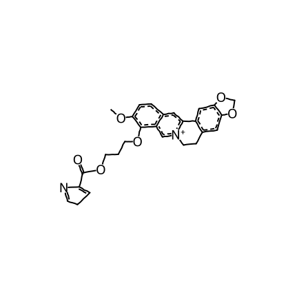 COc1ccc2cc3[n+](cc2c1OCCCOC(=O)C1=CCC=N1)CCc1cc2c(cc1-3)OCO2